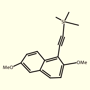 COc1ccc2c(C#C[Si](C)(C)C)c(OC)ccc2c1